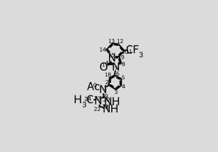 CC(=O)N(c1cccc(-n2cc3c(C(F)(F)F)cccn3c2=O)c1)C1NNCN1C